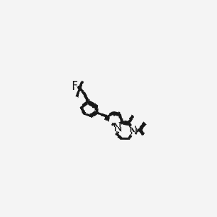 C=C(/C=C\C1=C(C)N(C(=C)C)CCCN1C)c1cccc(CC(C)(C)F)c1